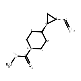 C=C[C@H]1C[C@@H]1C1CCN(C(=O)OC(C)(C)C)CC1